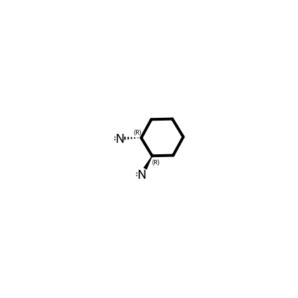 [N][C@@H]1CCCC[C@H]1[N]